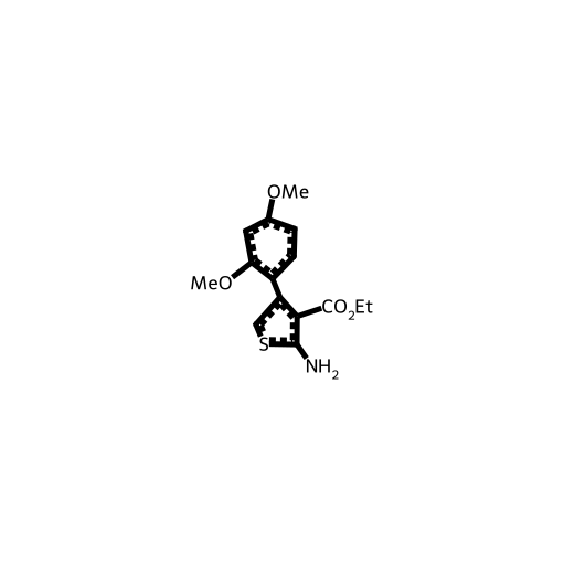 CCOC(=O)c1c(-c2ccc(OC)cc2OC)csc1N